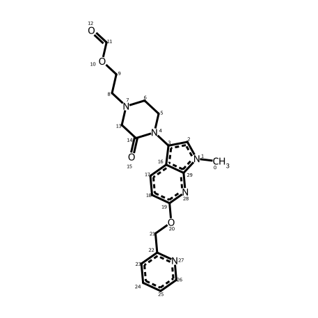 Cn1cc(N2CCN(CCOC=O)CC2=O)c2ccc(OCc3ccccn3)nc21